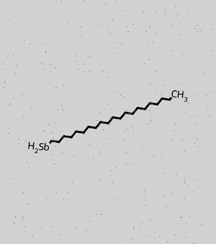 CCCCCCCCCCCCCCCCCCCC[CH2][SbH2]